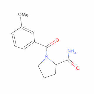 COc1cccc(C(=O)N2CCCC2C(N)=O)c1